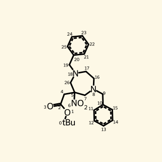 CC(C)(C)OC(=O)CC1([N+](=O)[O-])CN(Cc2ccccc2)CCN(Cc2ccccc2)C1